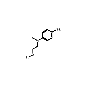 CCOCCN(CC)c1ccc(N)cc1